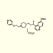 COc1ccc2nccc([C@H](F)CC[C@@H]3CCN(CCSc4ccncc4)C[C@H]3CCC(=O)O)c2c1